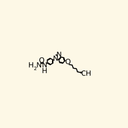 C#CCCCCCOc1ccc2c(c1)ncn2-c1ccc(NC(N)=O)cc1